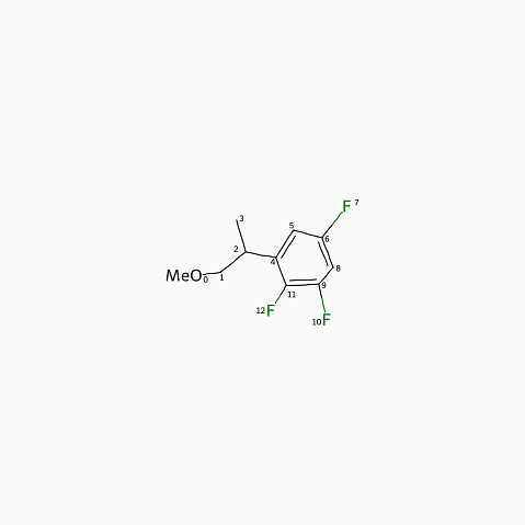 COCC(C)c1cc(F)cc(F)c1F